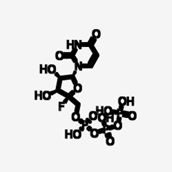 O=c1ccn([C@@H]2O[C@](F)(COP(=O)(O)OP(=O)(O)OP(=O)(O)O)[C@@H](O)[C@H]2O)c(=O)[nH]1